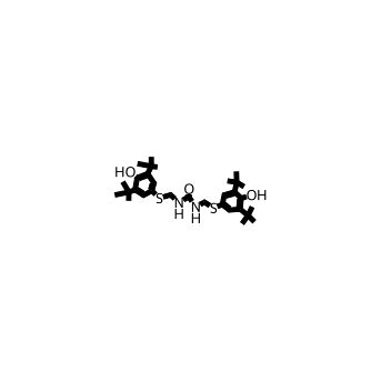 CC(C)(C)c1cc(SCNC(=O)NCSc2cc(C(C)(C)C)c(O)c(C(C)(C)C)c2)cc(C(C)(C)C)c1O